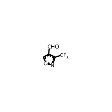 O=Cc1conc1C(F)(F)F